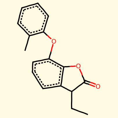 CCC1C(=O)Oc2c(Oc3ccccc3C)cccc21